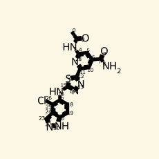 CC(=O)Nc1cc(C(N)=O)cc(-c2nnc(Nc3ccc4[nH]ncc4c3Cl)s2)n1